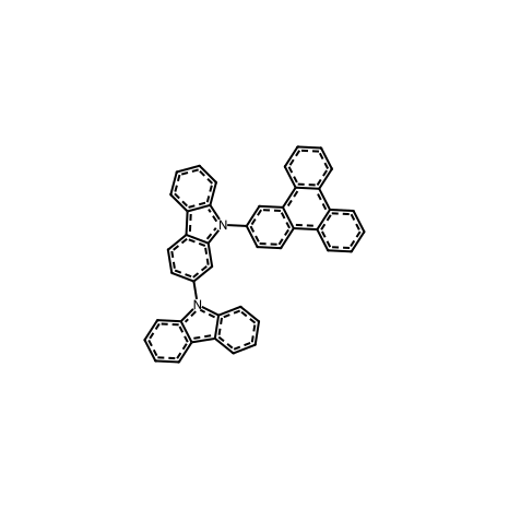 c1ccc2c(c1)c1ccccc1c1cc(-n3c4ccccc4c4ccc(-n5c6ccccc6c6ccccc65)cc43)ccc21